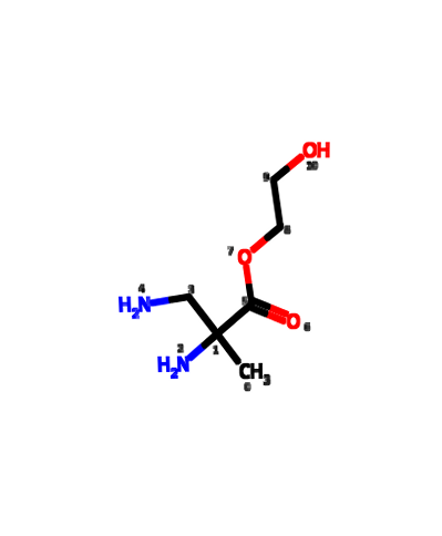 CC(N)(CN)C(=O)OCCO